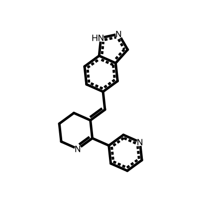 C(=C1CCCN=C1c1cccnc1)c1ccc2[nH]ncc2c1